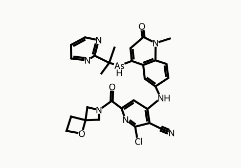 Cn1c(=O)cc([AsH]C(C)(C)c2ncccn2)c2cc(Nc3cc(C(=O)N4CC5(CCO5)C4)nc(Cl)c3C#N)ccc21